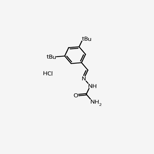 CC(C)(C)c1cc(C=NNC(N)=O)cc(C(C)(C)C)c1.Cl